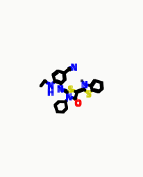 CCNc1ccc(C#N)cc1N=C1SC(=C2Sc3ccccc3N2C)C(=O)N1C1CCCCC1